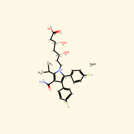 CC(C)c1c(C(N)=O)c(-c2ccc(F)cc2)c(-c2ccc(F)cc2)n1CC[C@@H](O)C[C@@H](O)CC(=O)O.[NaH]